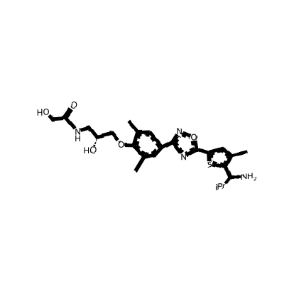 Cc1cc(-c2nc(-c3cc(C)c(OC[C@H](O)CNC(=O)CO)c(C)c3)no2)sc1C(N)C(C)C